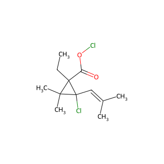 CCC1(C(=O)OCl)C(C)(C)C1(Cl)C=C(C)C